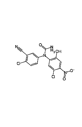 N#Cc1cc(N(C(N)=O)c2cc(Cl)c([N+](=O)[O-])cc2O)ccc1Cl